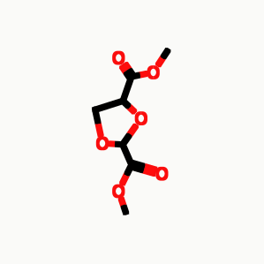 COC(=O)C1COC(C(=O)OC)O1